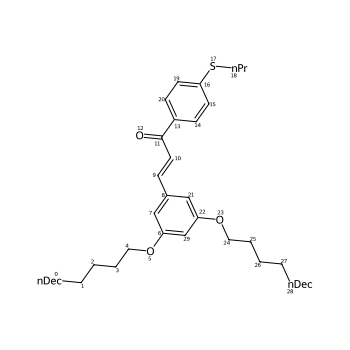 CCCCCCCCCCCCCCOc1cc(C=CC(=O)c2ccc(SCCC)cc2)cc(OCCCCCCCCCCCCCC)c1